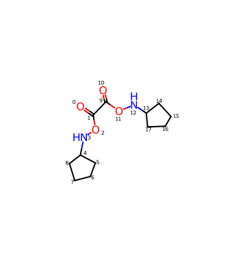 O=C(ONC1CCCC1)C(=O)ONC1CCCC1